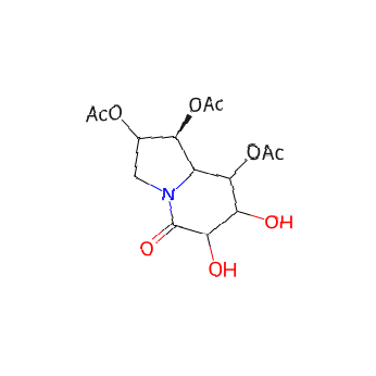 CC(=O)OC1C(O)C(O)C(=O)N2CC(OC(C)=O)[C@@H](OC(C)=O)C12